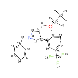 CC(C)(C)[Si](C)(C)OC[C@H]1CN(Cc2ccccc2)C[C@@H]1c1cccc(C(F)(F)F)c1